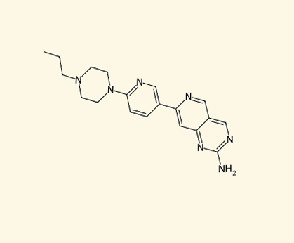 CCCN1CCN(c2ccc(-c3cc4nc(N)ncc4cn3)cn2)CC1